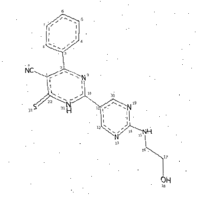 N#Cc1c(-c2ccccc2)nc(-c2cnc(NCCO)nc2)[nH]c1=S